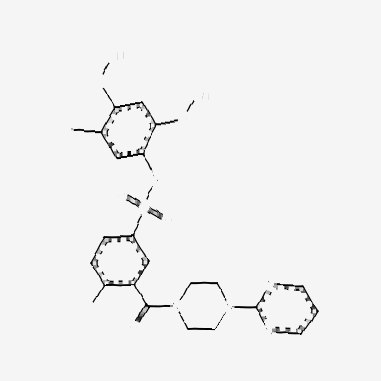 COc1cc(OC)c(NS(=O)(=O)c2ccc(C)c(C(=O)N3CCN(c4ncccn4)CC3)c2)cc1Cl